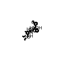 CCCN(CCC)C(=O)c1cc(C)cc(C(=O)N[C@@H](Cc2cccc(O)c2)[C@H](O)CNCc2cccc(OC)c2)c1